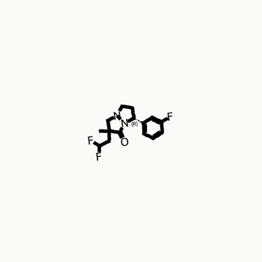 CC1(CC(F)F)CN2CC[C@H](c3cccc(F)c3)N2C1=O